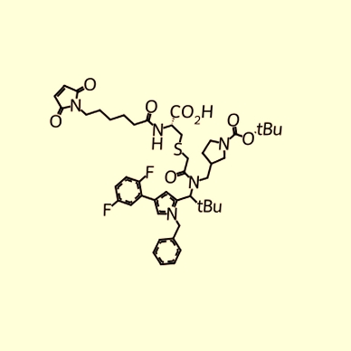 CC(C)(C)OC(=O)N1CCC(CN(C(=O)CSC[C@H](NC(=O)CCCCCN2C(=O)C=CC2=O)C(=O)O)C(c2cc(-c3cc(F)ccc3F)cn2Cc2ccccc2)C(C)(C)C)C1